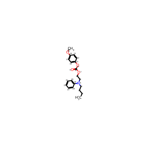 CCCCN(CCOC(=O)Oc1ccc(OC)cc1)c1ccccc1